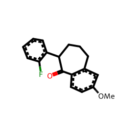 COc1ccc2c(c1)CCCC(c1ccccc1F)C2=O